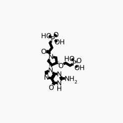 Nc1nc2c(ncn2[C@@H]2CN(C(=O)CCP(=O)(O)O)C[C@@H]2OCCP(=O)(O)O)c(=O)[nH]1